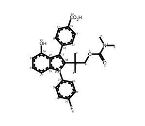 CN(C)C(=O)OCC(C)(C)c1c(-c2ccc(C(=O)O)cc2)c2c(O)cccc2n1-c1ccc(F)cc1